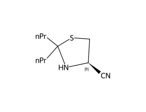 CCCC1(CCC)N[C@H](C#N)CS1